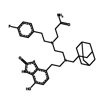 NC(=O)CCN(CCc1ccc(F)cc1)CCN(CCc1ccc(O)c2[nH]c(=O)sc12)CC12CC3CC(CC(C3)C1)C2